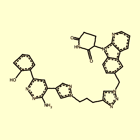 Nc1nnc(-c2ccccc2O)cc1-c1cnn(CCCc2cn(Cc3ccc4c(c3)c3cccnc3n4C3CCC(=O)NC3=O)nn2)c1